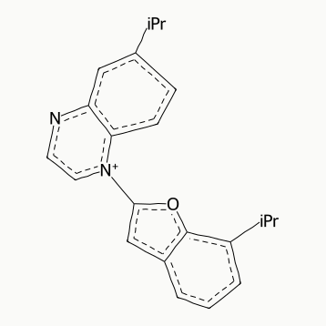 CC(C)c1ccc2c(c1)ncc[n+]2-c1cc2cccc(C(C)C)c2o1